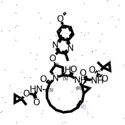 COc1ccc2nc(C)c(O[C@@H]3C[C@H]4C(=O)N[C@]5(C(=O)NS(=O)(=O)C6(C)CC6)CC5/C=C\CCCCC[C@H](NC(=O)OC5(C)CC5)C(=O)N4C3)nc2c1